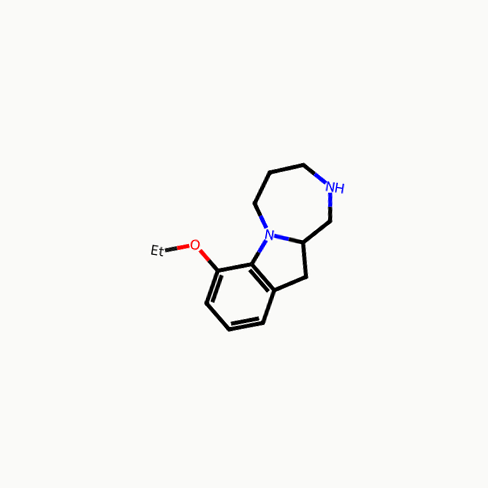 CCOc1cccc2c1N1CCCNCC1C2